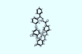 O=C(NCC(c1ccccc1)c1ccccc1)c1ccc(CN(Cc2ccc(F)cc2)S(=O)(=O)c2cc(Cl)cc(Cl)c2O)cc1